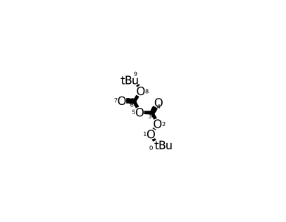 CC(C)(C)OOC(=O)OC(=O)OC(C)(C)C